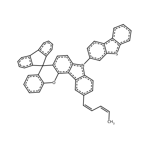 C/C=C\C=C/c1ccc2c(c1)c1c3c(ccc1n2-c1ccc2c(c1)sc1ccccc12)C1(c2ccccc2O3)c2ccccc2-c2ccccc21